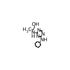 CC(CO)Nc1n[c]nc(Nc2ccccc2)n1